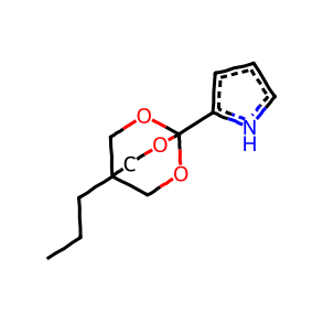 CCCC12COC(c3ccc[nH]3)(OC1)OC2